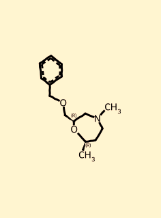 C[C@@H]1CCN(C)C[C@H](COCc2ccccc2)O1